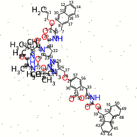 C=CCOC(=O)[C@H](Cc1ccc2ccccc2c1)NC(=O)[C@@H]1C[C@H](n2cc(COc3ccc(C[C@@H](NC(=O)OCC4c5ccccc5-c5ccccc54)OC=O)cc3)nn2)CN1C(=O)[C@@H](NC(=O)[C@H](C)N(C)C(=O)OC(C)(C)C)C(C)(C)C